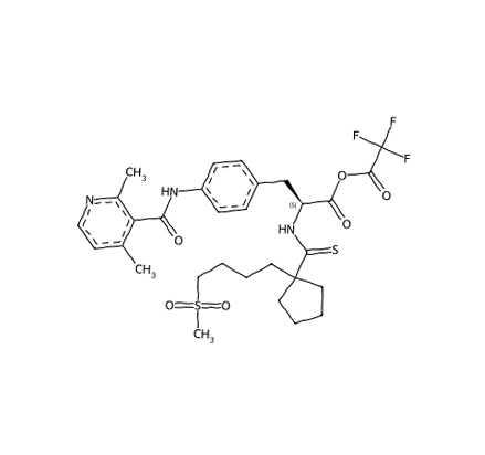 Cc1ccnc(C)c1C(=O)Nc1ccc(C[C@H](NC(=S)C2(CCCCS(C)(=O)=O)CCCC2)C(=O)OC(=O)C(F)(F)F)cc1